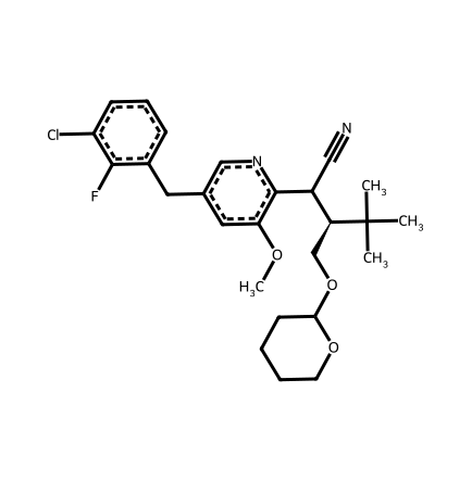 COc1cc(Cc2cccc(Cl)c2F)cnc1C(C#N)[C@H](COC1CCCCO1)C(C)(C)C